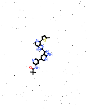 Cc1ccc(-c2nccc3[nH]c(-c4n[nH]c5ncc(-c6cncc(NC(=O)C(C)(C)C)c6)cc45)nc23)s1